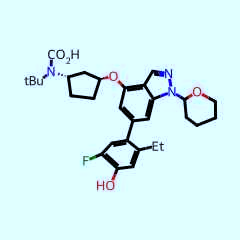 CCc1cc(O)c(F)cc1-c1cc(O[C@H]2CC[C@H](N(C(=O)O)C(C)(C)C)C2)c2cnn(C3CCCCO3)c2c1